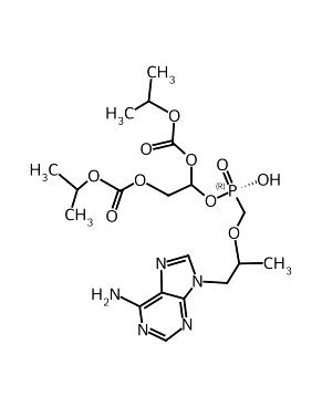 CC(C)OC(=O)OCC(OC(=O)OC(C)C)O[P@](=O)(O)COC(C)Cn1cnc2c(N)ncnc21